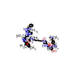 Cc1ncsc1-c1ccc([C@H](C)NC(=O)[C@@H]2C[C@@H](O)CN2C(=O)[C@@H](NC(=O)C2CCN(C(=O)CCCCCCCN(C)CCOC34CC5(C)CC(C)(CC(Cn6ncc(-c7ccc(N8CCCc9c8nnc(Nc8nc%10ccccc%10s8)c9C)nc7C(=O)O)c6C)(C5)C3)C4)CC2)C(C)(C)C)cc1